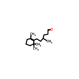 CC1=C(CCC(C)CCC=O)C(C)(C)CCC1